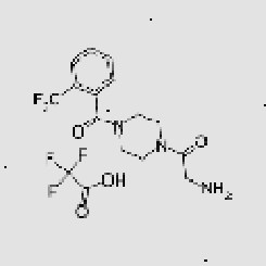 NCC(=O)N1CCN(C(=O)c2ccccc2C(F)(F)F)CC1.O=C(O)C(F)(F)F